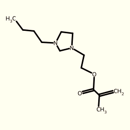 C=C(C)C(=O)OCCN1CCN(CCCC)C1